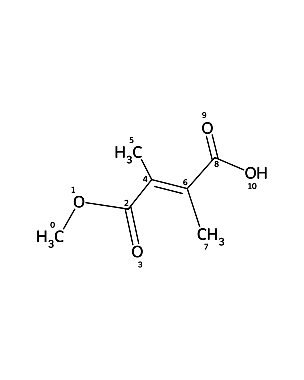 COC(=O)/C(C)=C(\C)C(=O)O